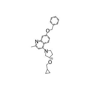 Cc1cc(N2CC[C@H](OCC3CC3)C2)c2ccc(OCc3ccccc3)cc2n1